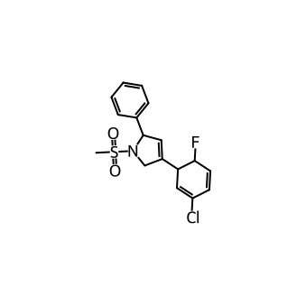 CS(=O)(=O)N1CC(C2C=C(Cl)C=CC2F)=CC1c1ccccc1